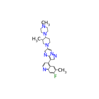 Cc1cc2c(-c3cnn4cc(N5CCC(N6CCN(C)CC6)C(C)C5)cnc34)ccnc2cc1F